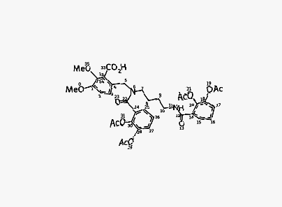 COc1ccc(CN(CCCCNC(=O)c2cccc(OC(C)=O)c2OC(C)=O)C(=O)c2cccc(OC(C)=O)c2OC(C)=O)c(C(=O)O)c1OC